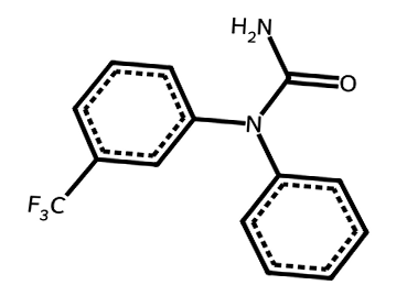 NC(=O)N(c1ccccc1)c1cccc(C(F)(F)F)c1